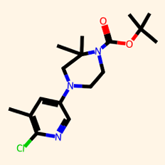 Cc1cc(N2CCN(C(=O)OC(C)(C)C)C(C)(C)C2)cnc1Cl